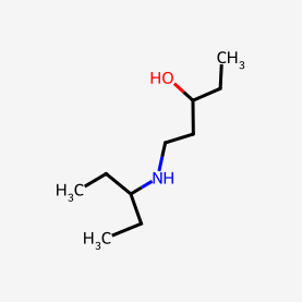 CCC(O)CCNC(CC)CC